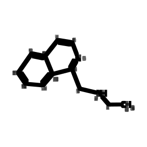 CCNCc1nccc2ccccc12